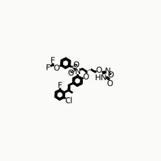 C/C(=C\c1ccc2c(c1)N(S(=O)(=O)c1cccc(OC(F)F)c1)C[C@H](CCOc1noc(=O)[nH]1)O2)c1c(F)cccc1Cl